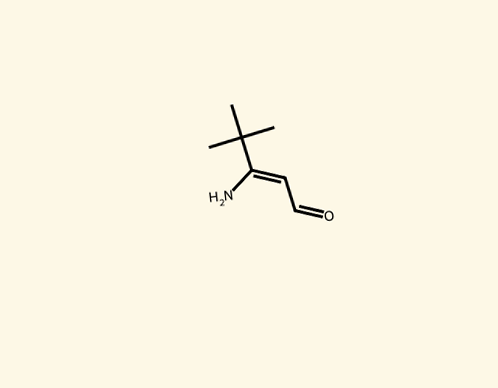 CC(C)(C)/C(N)=C/C=O